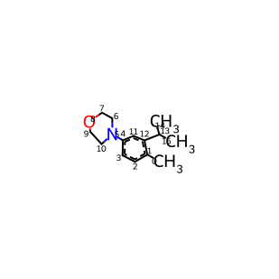 Cc1ccc(N2CCOCC2)cc1C(C)C